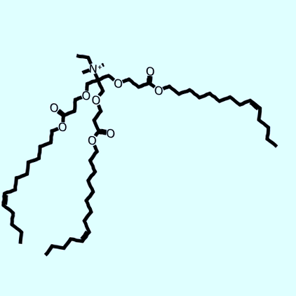 CCCC/C=C\CCCCCCCCOC(=O)CCOCC(COCCC(=O)OCCCCCCCC/C=C\CCCC)(COCCC(=O)OCCCCCCCC/C=C\CCCC)[N+](C)(C)CC